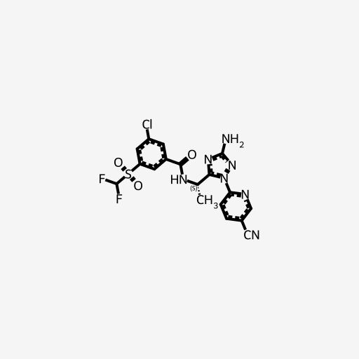 C[C@H](NC(=O)c1cc(Cl)cc(S(=O)(=O)C(F)F)c1)c1nc(N)nn1-c1ccc(C#N)cn1